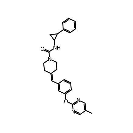 Cc1cnc(Oc2cccc(C=C3CCN(C(=O)NC4CC4c4ccccc4)CC3)c2)nc1